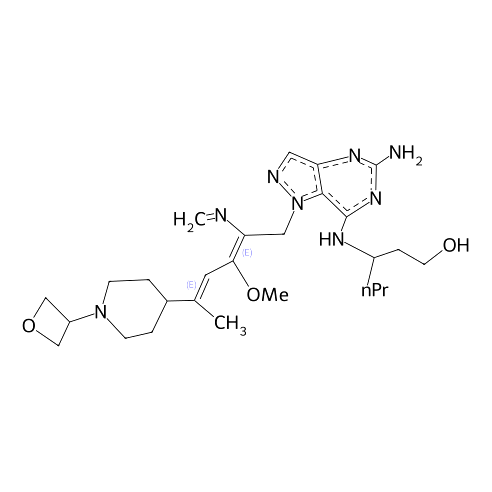 C=N/C(Cn1ncc2nc(N)nc(NC(CCC)CCO)c21)=C(\C=C(/C)C1CCN(C2COC2)CC1)OC